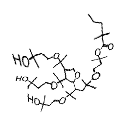 CCCC(C)(C)C(=O)OC(C)(C)CCOC(C)(C)CC(C1OCC(C(C)(C)OCCC(C)(C)O)C1C(C)(C)OCCC(C)(C)O)C(C)(C)OCCC(C)(C)O